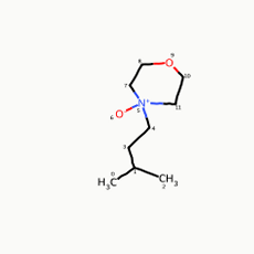 CC(C)CC[N+]1([O-])CCOCC1